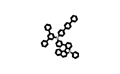 c1ccc(-c2ccc(-c3ccc(N(c4cc(-c5ccccc5)cc(-c5ccccc5)c4)c4cccc(-c5cccc6c5c5c7ccccc7ccc5n6-c5ccccc5)c4)cc3)cc2)cc1